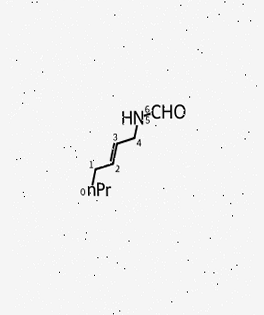 CCCCC=CCNC=O